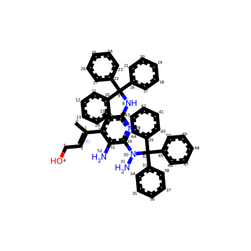 C/C(=C\CO)c1cc(NC(c2ccccc2)(c2ccccc2)c2ccccc2)nc(N(N)C(c2ccccc2)(c2ccccc2)c2ccccc2)c1N